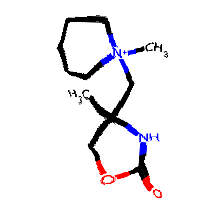 CC1(C[N+]2(C)CCCC2)COC(=O)N1